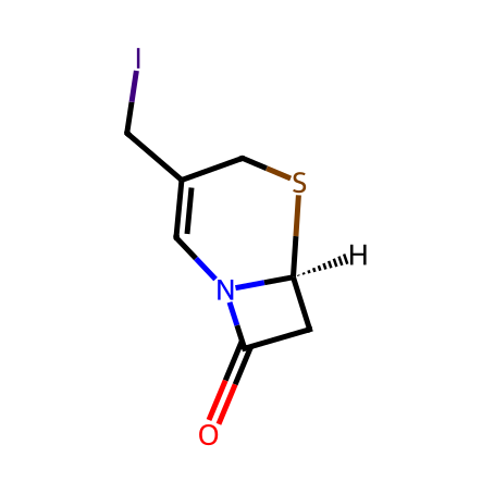 O=C1C[C@@H]2SCC(CI)=CN12